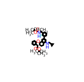 C[C@@H](NC(=O)OC(C)(C)C)c1cccc(-c2cc(NCC3CC3)c3c(c2)C(Oc2ccccc2CC(=O)OC(C)(C)C)CCC3)c1F